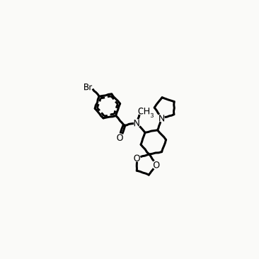 CN(C(=O)c1ccc(Br)cc1)C1CC2(CCC1N1CCCC1)OCCO2